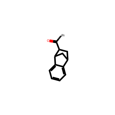 CC(C)C(=O)C1CC2CC1c1ccccc12